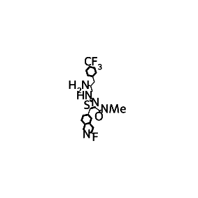 CNC(=O)c1nc(NC[C@@H](N)Cc2ccc(C(F)(F)F)cc2)sc1-c1ccc2cnc(F)cc2c1